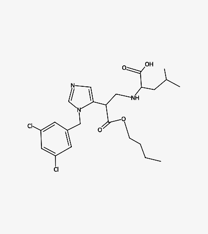 CCCCOC(=O)C(CNC(CC(C)C)C(=O)O)c1cncn1Cc1cc(Cl)cc(Cl)c1